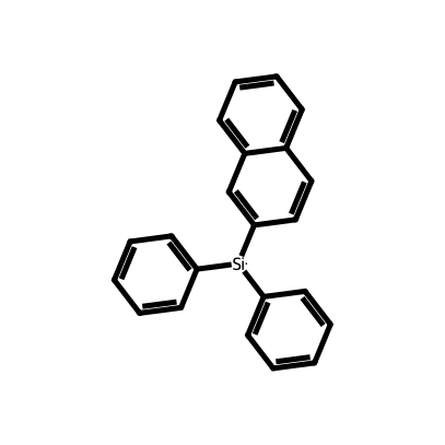 c1ccc([Si](c2ccccc2)c2ccc3ccccc3c2)cc1